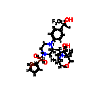 C[C@](O)(c1ccc(N2CCN(S(=O)(=O)c3cccs3)C[C@@H]2CN2[C@H]3COC[C@@H]2[C@@H](O)C3)cc1)C(F)(F)F